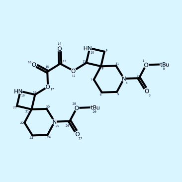 CC(C)(C)OC(=O)N1CCCC2(CNC2OC(=O)C(=O)OC2NCC23CCCN(C(=O)OC(C)(C)C)C3)C1